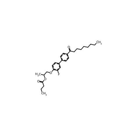 CCCCCCCCC(=O)c1ccc(-c2ccc(OCC(C)OC(=O)CCC)c(F)c2)cc1